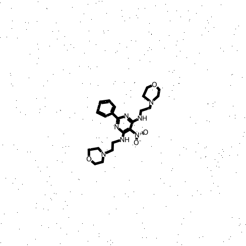 O=[N+]([O-])c1c(NCCN2CCOCC2)nc(-c2ccccc2)nc1NCCN1CCOCC1